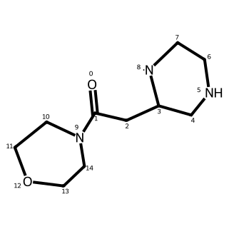 O=C(CC1CNCC[N]1)N1CCOCC1